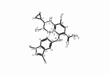 CC[C@H](N)[C@H](Nc1nc(Nc2ccc3c(c2)c(C)nn3C)c(C(N)=O)cc1F)C1CC1